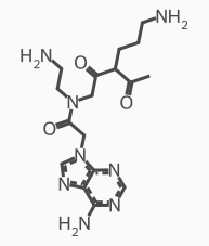 CC(=O)C(CCCN)C(=O)CN(CCN)C(=O)Cn1cnc2c(N)ncnc21